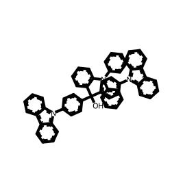 OC(c1ccc(-n2c3ccccc3c3ccccc32)cc1)(c1ccc(-n2c3ccccc3c3ccccc32)cc1)c1ccccc1N(c1ccccc1)c1ccccc1